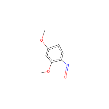 COc1ccc(N=O)c(OC)c1